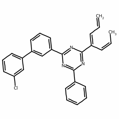 C=C/C=C(\C=C/C)c1nc(-c2ccccc2)nc(-c2cccc(-c3cccc(Cl)c3)c2)n1